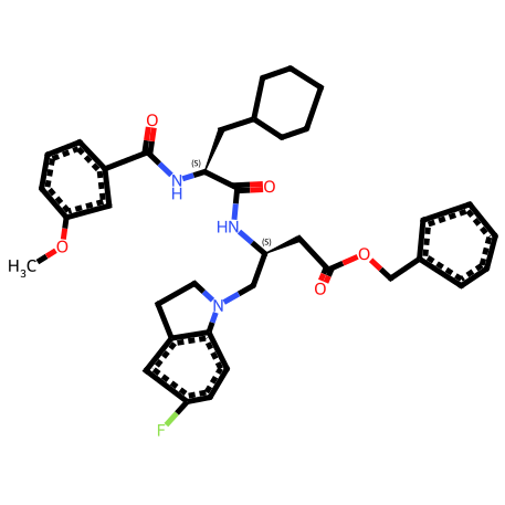 COc1cccc(C(=O)N[C@@H](CC2CCCCC2)C(=O)N[C@@H](CC(=O)OCc2ccccc2)CN2CCc3cc(F)ccc32)c1